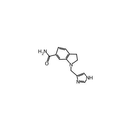 NC(=O)c1ccc2c(c1)N(Cc1c[nH]cn1)CC2